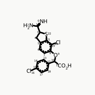 N=C(N)C1Cc2ccc(OC(C(=O)O)c3ccc(Cl)cc3)c(Cl)c2S1